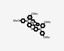 COc1ccc(N(c2ccc(OC)cc2)c2ccc3c(c2)C2(c4cc(N(c5ccc(OC)cc5)c5ccc(OC)cc5)ccc4S3)c3ccccc3-c3cc(C(F)(F)F)nn32)cc1